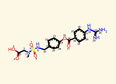 CN(CC(=O)O)S(=O)(=O)NCc1ccc(OC(=O)c2ccc(NC(=N)N)cc2)cc1